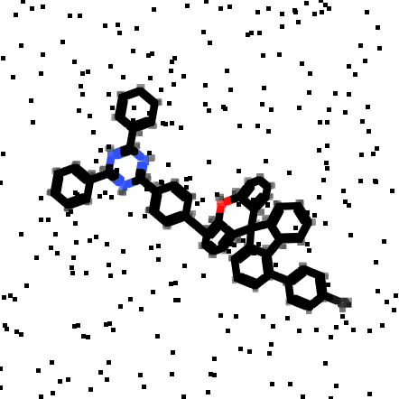 N#Cc1ccc(-c2cccc3c2-c2ccccc2C32C3=CCCC=C3Oc3c(-c4ccc(-c5nc(C6=CCCC=C6)nc(-c6ccccc6)n5)cc4)cccc32)cc1